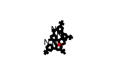 CC(C)(C)c1ccc2c(c1)c1cc(C(C)(C)C)ccc1n2-c1c(C#N)cc(C#N)c(-n2c3ccc(C(C)(C)C)cc3c3cc(C(C)(C)C)ccc32)c1C1CCCCC1